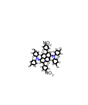 Cc1ccc(N(c2ccc(C)cc2)c2cc(-c3ccc([N+](=O)[O-])cc3)c3ccc4c(N(c5ccc(C)cc5)c5ccc(C)cc5)cc(-c5ccc([N+](=O)[O-])cc5)c5ccc2c3c54)cc1